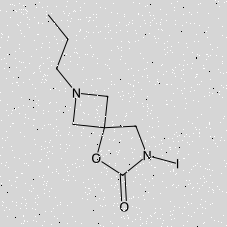 CCCN1CC2(C1)CN(I)C(=O)O2